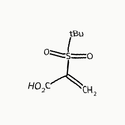 C=C(C(=O)O)S(=O)(=O)C(C)(C)C